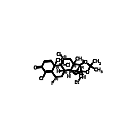 CCOC(=S)[C@@]12OC(C)(C)O[C@@H]1C[C@H]1[C@@H]3C[C@H](F)C4=C(Cl)C(=O)C=C[C@]4(C)[C@@]3(Cl)[C@@H](Cl)C[C@@]12C